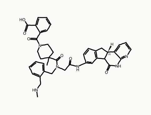 CNCc1ccccc1CN(CC(=O)Nc1ccc2c(c1)C1C(=O)Nc3ncccc3[C@H]1C2)C(=O)C1(C)CCN(C(=O)c2ccccc2C(=O)O)CC1